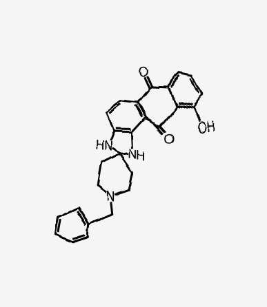 O=C1c2cccc(O)c2C(=O)c2c1ccc1c2NC2(CCN(Cc3ccccc3)CC2)N1